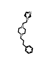 c1ccc(CCCN2CCN(CCn3ccnc3)CC2)cc1